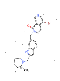 C[C@@H]1CCCCN1Cc1cc2ccc(Cn3ccc4c(Br)cncc4c3=O)cc2[nH]1